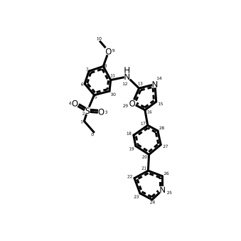 CCS(=O)(=O)c1ccc(OC)c(Nc2ncc(-c3ccc(-c4cccnc4)cc3)o2)c1